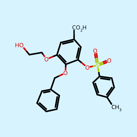 Cc1ccc(S(=O)(=O)Oc2cc(C(=O)O)cc(OCCO)c2OCc2ccccc2)cc1